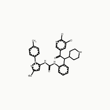 Cc1ccc(-n2nc(C(C)(C)C)cc2NC(=O)Nc2ccccc2C(C(=O)c2cnc(Cl)c(Cl)c2)C2CCNCC2)cc1